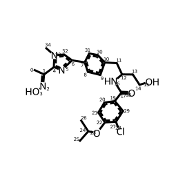 CC(=NO)c1nc(-c2ccc(CC(CCO)NC(=O)c3ccc(OC(C)C)c(Cl)c3)cc2)cn1C